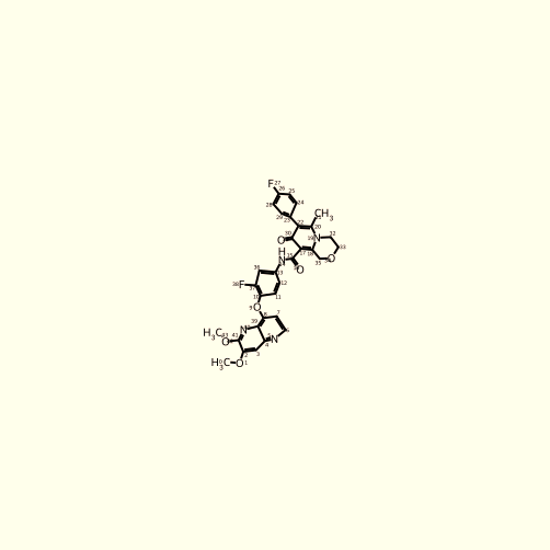 COc1cc2nccc(Oc3ccc(NC(=O)c4c5n(c(C)c(-c6ccc(F)cc6)c4=O)CCOC5)cc3F)c2nc1OC